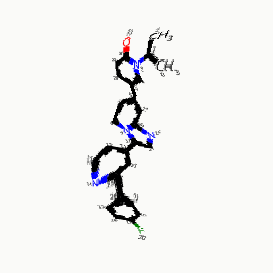 CC(C)n1cc(-c2ccn3c(-c4ccnc(-c5ccc(F)cc5)c4)cnc3c2)ccc1=O